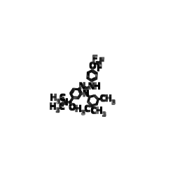 CC1CC(n2c(Nc3ccc(OC(F)(F)F)cc3)nc3ccc(C(=O)N(C)C)cc32)CC(C)(C)C1